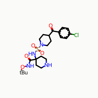 CC(C)(C)ONC(=O)C1(NS(=O)(=O)N2CCC(C(=O)c3ccc(Cl)cc3)CC2)CCNCC1